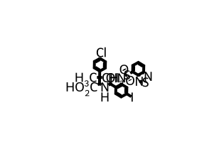 CC(C)(c1ccc(Cl)cc1)C(NC(=O)c1ccc(I)cc1NS(=O)(=O)c1cccc2nsnc12)C(=O)O